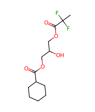 CC(F)(F)C(=O)OCC(O)COC(=O)C1CCCCC1